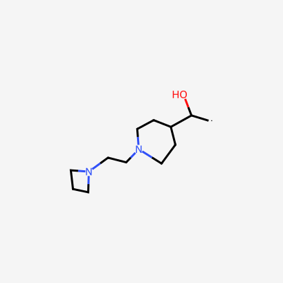 [CH2]C(O)C1CCN(CCN2CCC2)CC1